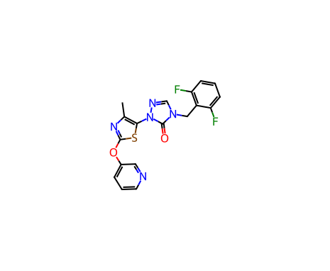 Cc1nc(Oc2cccnc2)sc1-n1ncn(Cc2c(F)cccc2F)c1=O